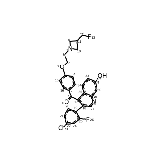 O=C(c1ccc(OCCN2CC(CF)C2)cc1)c1c(-c2ccc(Cl)cc2F)cnc2cc(O)ccc12